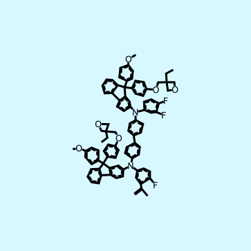 C=C(C)c1cc(N(c2ccc(-c3ccc(N(c4ccc(F)c(F)c4)c4ccc5c(c4)C(c4ccc(OC)cc4)(c4ccc(OCC6(CC)COC6)cc4)c4ccccc4-5)cc3)cc2)c2ccc3c(c2)C(c2ccc(OC)cc2)(c2ccc(OCC4(CC)COC4)cc2)c2ccccc2-3)ccc1F